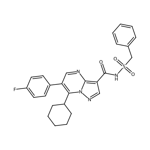 O=C(NS(=O)(=O)Cc1ccccc1)c1cnn2c(C3CCCCC3)c(-c3ccc(F)cc3)cnc12